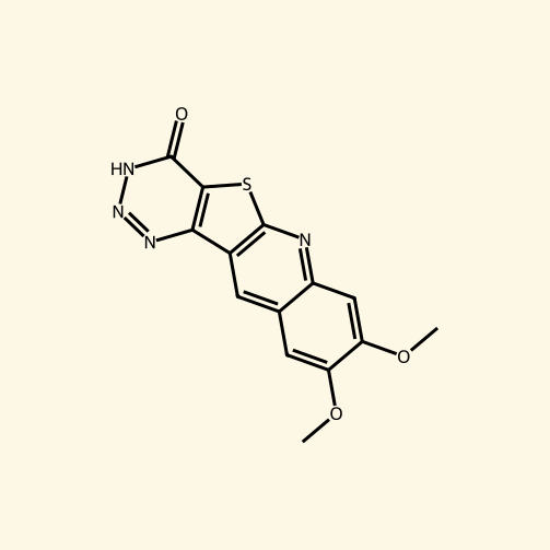 COc1cc2cc3c(nc2cc1OC)sc1c(=O)[nH]nnc13